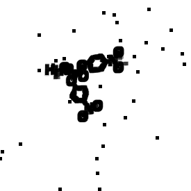 O.O=[N+]([O-])c1ccc(OP(=O)(O)Oc2ccc([N+](=O)[O-])cc2)cc1